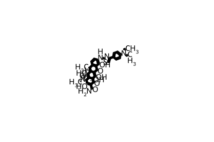 CCN(CC)c1ccc(-c2csc(Nc3ccc4c(c3O)C(=O)C3=C(O)[C@]5(O)C(=O)C(C(N)=O)=C(O)[C@H](N(C)C)[C@H]5[C@H](O)[C@@H]3[C@@H]4C)n2)cc1